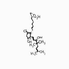 CC(C)=CCC(C)(C)[C@H](O)C=C[C@@H]1[C@@H](CC=CCCCC(=O)O)[C@H](Cl)C[C@H]1O